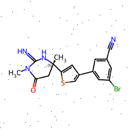 CN1C(=N)N[C@](C)(c2cc(-c3cc(Br)cc(C#N)c3)cs2)CC1=O